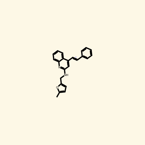 Cc1ccc(CNc2cc(/C=C/c3ccccc3)c3ccccc3n2)o1